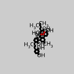 CC1=CC(c2c(O)ccc(C(C)/C=C/c3ccc(O)cc3O)c2O)C(C(=O)c2ccc(O)c(/C=C/C(C)C)c2O)C(c2ccc(O)cc2O)C1